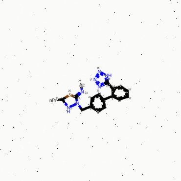 CCCC1NN(Cc2ccc(-c3ccccc3-c3nnn[nH]3)cc2)C(=NC(C)=O)S1